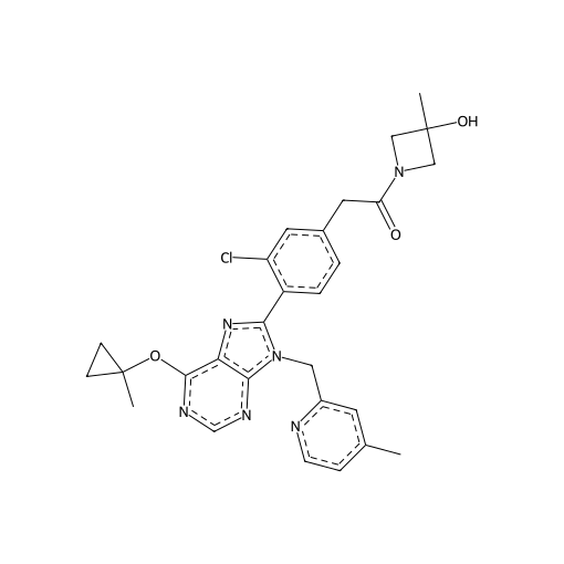 Cc1ccnc(Cn2c(-c3ccc(CC(=O)N4CC(C)(O)C4)cc3Cl)nc3c(OC4(C)CC4)ncnc32)c1